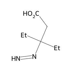 CCC(CC)(CC(=O)O)N=N